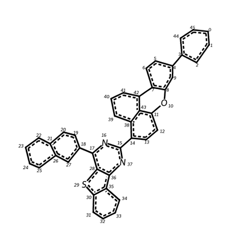 c1ccc(-c2ccc3c(c2)Oc2ccc(-c4nc(-c5ccc6ccccc6c5)c5sc6ccccc6c5n4)c4cccc-3c24)cc1